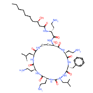 CCCCCCC[C@@H](O)CC(=O)N[C@H](CCN)C(=O)N[C@]1(O)CCNC(=O)[C@H](CC(C)C)NC(=O)[C@H](CCN)NC(=O)[C@H](CCN)NC(=O)N(CC(C)C)NC(=O)[C@@H](Cc2ccccc2)NC(=O)[C@H](CCN)NC1=O